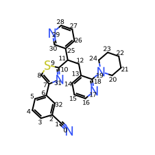 N#Cc1cccc(-c2csc(C(Cc3cccnc3N3CCCCC3)c3cccnc3)n2)c1